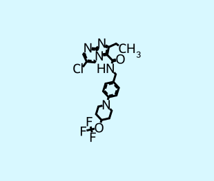 CCc1nc2ncc(Cl)cn2c1C(=O)NCc1ccc(N2CCC(OC(F)(F)F)CC2)cc1